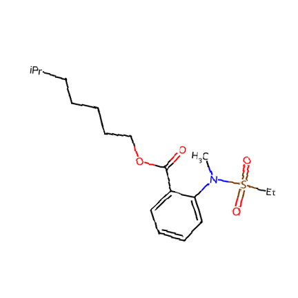 CCS(=O)(=O)N(C)c1ccccc1C(=O)OCCCCCC(C)C